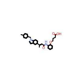 CC(=CC(=O)Nc1ccccc1OCCCC(=O)O)c1ccc2c(ccn2Cc2ccc(C)cc2)c1